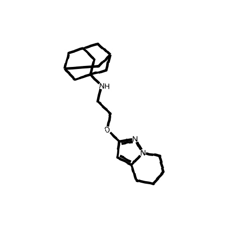 c1c(OCCNC23CC4CC(CC(C4)C2)C3)nn2c1CCCC2